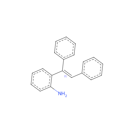 Nc1ccccc1/C(=C/c1ccccc1)c1ccccc1